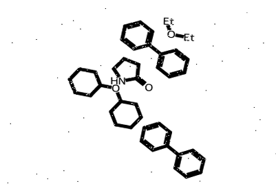 C1CCC(OC2CCCCC2)CC1.CCOCC.O=C1CCCN1.c1ccc(-c2ccccc2)cc1.c1ccc(-c2ccccc2)cc1